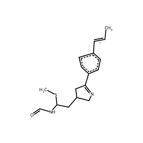 C/C=C/c1ccc(C2=NCC(CC(NC=O)SC)C2)cc1